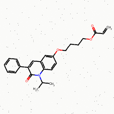 C=CC(=O)OCCCCOc1ccc2c(c1)cc(-c1ccccc1)c(=O)n2C(C)C